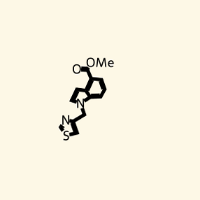 COC(=O)c1cccc2c1ccn2Cc1cscn1